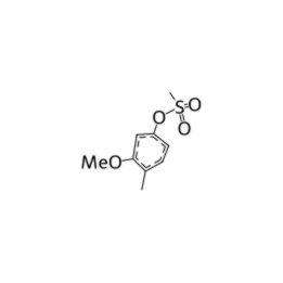 COc1cc(OS(C)(=O)=O)ccc1C